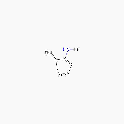 CCNc1ccccc1C(C)(C)C